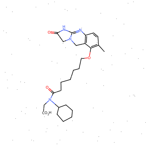 Cc1ccc2c(c1OCCCCCCC(=O)N(CC(=O)O)C1CCCCC1)CN1CC(=O)NC1=N2